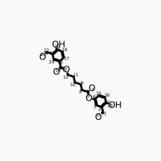 O=Cc1cc(OC(=O)CCCCCOC(=O)c2ccc(O)c(C=O)c2)ccc1O